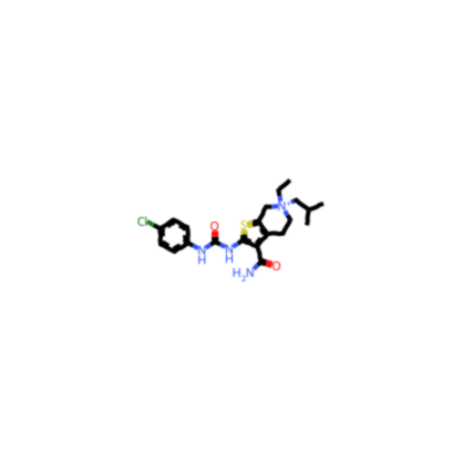 CC[N+]1(CC(C)C)CCc2c(sc(NC(=O)Nc3ccc(Cl)cc3)c2C(N)=O)C1